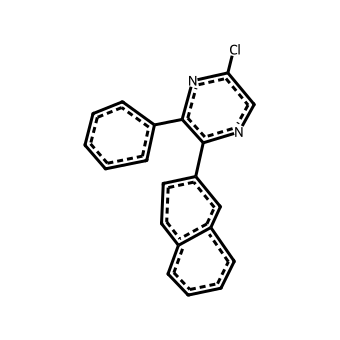 Clc1cnc(-c2ccc3ccccc3c2)c(-c2ccccc2)n1